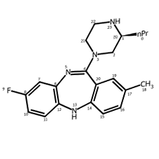 CCC[C@H]1CN(C2=Nc3cc(F)ccc3Nc3ccc(C)cc32)CCN1